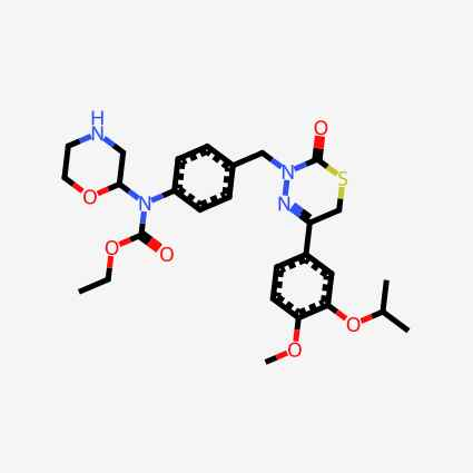 CCOC(=O)N(c1ccc(CN2N=C(c3ccc(OC)c(OC(C)C)c3)CSC2=O)cc1)C1CNCCO1